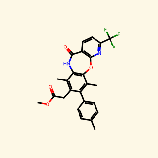 COC(=O)Cc1c(C)c2c(c(C)c1-c1ccc(C)cc1)Oc1nc(C(F)(F)F)ccc1C(=O)N2